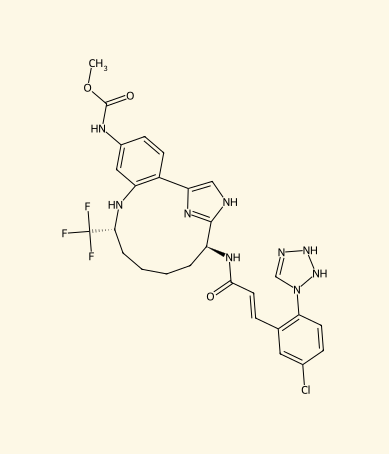 COC(=O)Nc1ccc2c(c1)N[C@@H](C(F)(F)F)CCCC[C@H](NC(=O)/C=C/c1cc(Cl)ccc1N1C=NNN1)c1nc-2c[nH]1